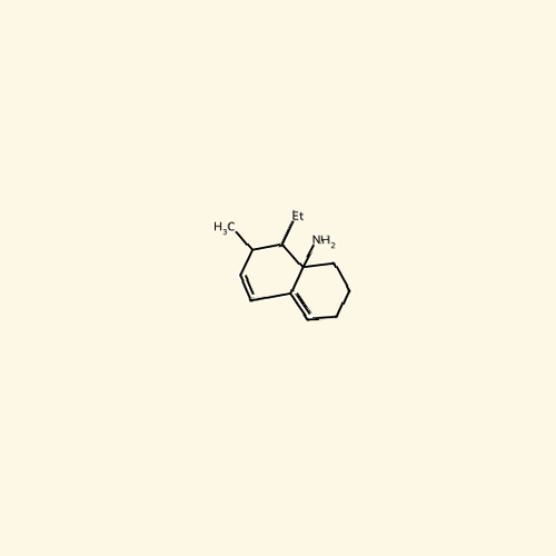 CCC1C(C)C=CC2=CCCCC21N